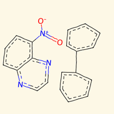 O=[N+]([O-])c1cccc2nccnc12.c1ccc(-c2ccccc2)cc1